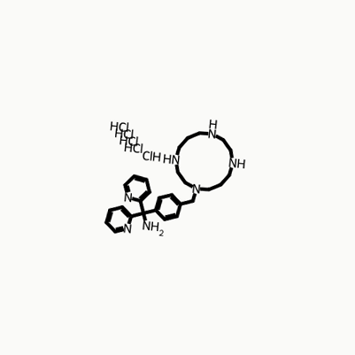 Cl.Cl.Cl.Cl.Cl.NC(c1ccc(CN2CCCNCCNCCCNCC2)cc1)(c1ccccn1)c1ccccn1